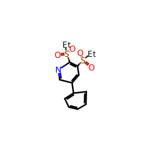 CCS(=O)(=O)c1cc(-c2ccccc2)cnc1S(=O)(=O)CC